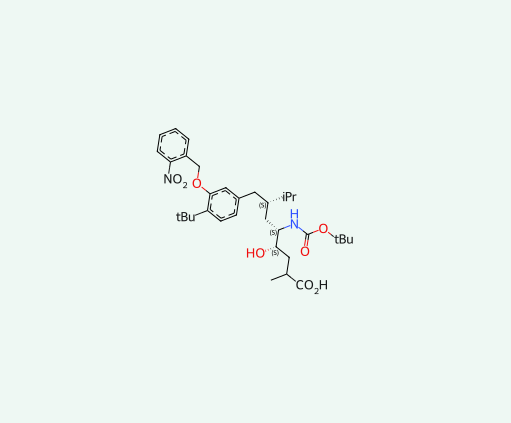 CC(C[C@H](O)[C@H](C[C@H](Cc1ccc(C(C)(C)C)c(OCc2ccccc2[N+](=O)[O-])c1)C(C)C)NC(=O)OC(C)(C)C)C(=O)O